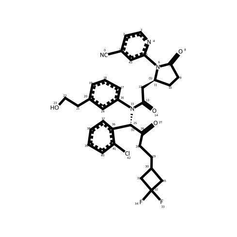 N#Cc1ccnc(N2C(=O)CC[C@H]2CC(=O)N(c2cccc(CCO)c2)[C@H](C(=O)CCC2CC(F)(F)C2)c2ccccc2Cl)c1